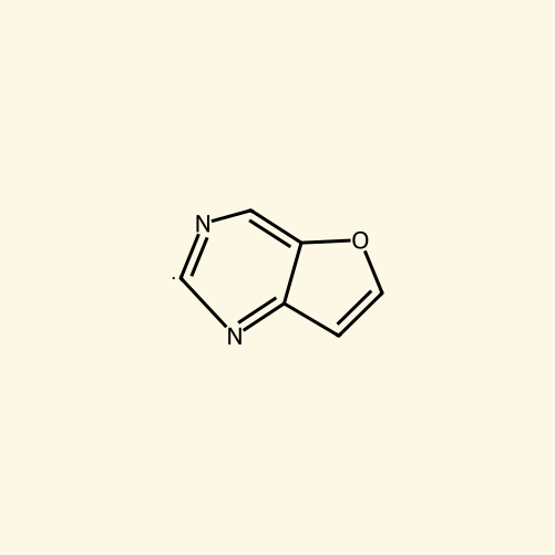 [c]1ncc2occc2n1